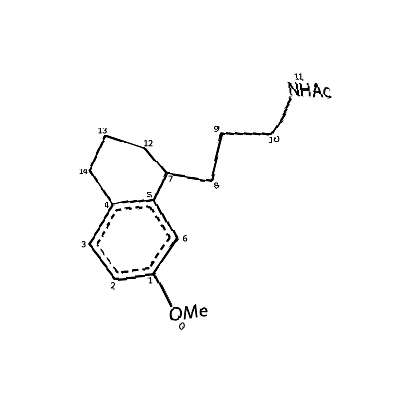 COc1ccc2c(c1)C(CCCNC(C)=O)CCC2